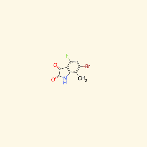 Cc1c(Br)cc(F)c2c1NC(=O)C2=O